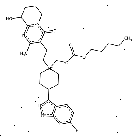 CCCCCOC(=O)OC[N+]1(CCc2c(C)nc3n(c2=O)CCCC3O)CCC(c2noc3cc(F)ccc23)CC1